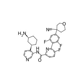 N#CC1(c2cc(F)c(-c3nc(C(=O)Nc4cnccc4[C@@H]4CCC[C@H](N)C4)ccc3F)c(F)c2)CCOCC1